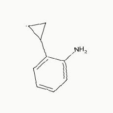 Nc1ccccc1C1[CH]C1